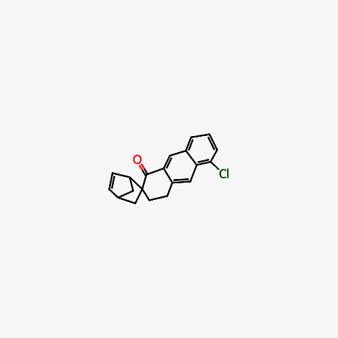 O=C1c2cc3cccc(Cl)c3cc2CCC12CC1C=CC2C1